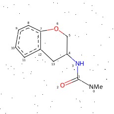 CNC(=O)NC1COc2ccccc2C1